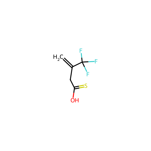 C=C(CC(O)=S)C(F)(F)F